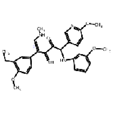 CCc1cc(/C(=C/NC)C(=N)C(=O)C(Nc2cccc(OC)c2)c2ccc(OC)nc2)ccc1OC